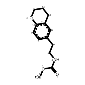 CC(C)(C)OC(=O)NCCc1ccc2c(c1)CCCO2